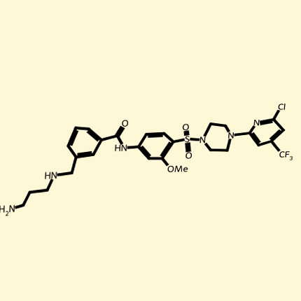 COc1cc(NC(=O)c2cccc(CNCCCN)c2)ccc1S(=O)(=O)N1CCN(c2cc(C(F)(F)F)cc(Cl)n2)CC1